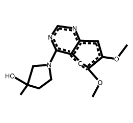 COc1cc2ncnc(N3CCC(C)(O)C3)c2cc1OC